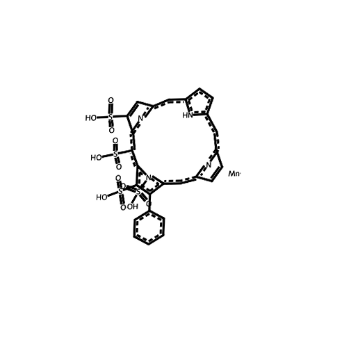 O=S(=O)(O)C1=Cc2cc3ccc(cc4nc(cc5c(-c6ccccc6)c(S(=O)(=O)O)c(c(S(=O)(=O)O)c1n2)n5S(=O)(=O)O)C=C4)[nH]3.[Mn]